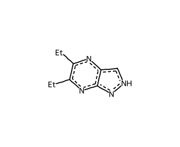 CCc1nc2c[nH]nc2nc1CC